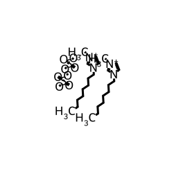 CCCCCCCCn1cc[n+](C)c1.CCCCCCCCn1cc[n+](C)c1.O=S(=O)([O-])OOS(=O)(=O)[O-]